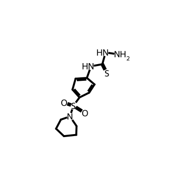 NNC(=S)Nc1ccc(S(=O)(=O)N2CCCCC2)cc1